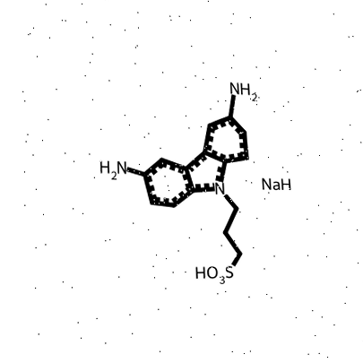 Nc1ccc2c(c1)c1cc(N)ccc1n2CCCS(=O)(=O)O.[NaH]